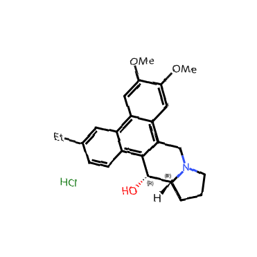 CCc1ccc2c3c(c4cc(OC)c(OC)cc4c2c1)CN1CCC[C@@H]1[C@@H]3O.Cl